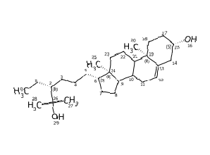 CC[C@H](CCC[C@H]1CCC2C3CC=C4C[C@@H](O)CC[C@]4(C)C3CC[C@@]21C)C(C)(C)O